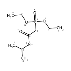 CCOP(=O)(CC(=O)NC(C)C)OCC